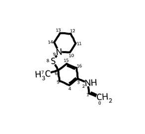 C=CNC1=CCC(C)(SN2CCCCC2)C=C1